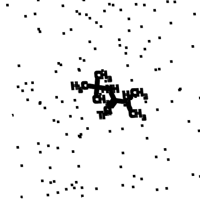 C[SiH](C)C(=O)NC(C)(C)C.[Ti+2]